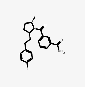 C[C@@H]1CC[C@H](CCc2ccc(F)cc2)N1C(=O)c1cccc(C(N)=O)c1